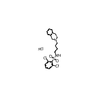 Cl.O=S(=O)(NCCCCN1CCc2ccccc2C1)c1c(Cl)cccc1Cl